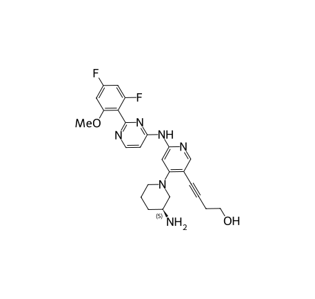 COc1cc(F)cc(F)c1-c1nccc(Nc2cc(N3CCC[C@H](N)C3)c(C#CCCO)cn2)n1